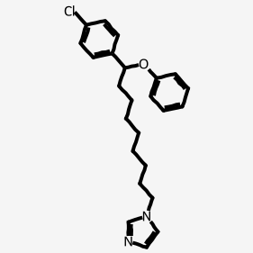 Clc1ccc(C(CCCCCCCCn2ccnc2)Oc2ccccc2)cc1